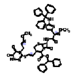 CO/N=C/Cn1c(S/C=C/C2=C(C(=O)OC(c3ccccc3)c3ccccc3)N3C(=O)C(NC(=O)/C(=N/OC)c4csc(NC(c5ccccc5)(c5ccccc5)c5ccccc5)n4)C3SC2)n[nH]c(=O)c1=O